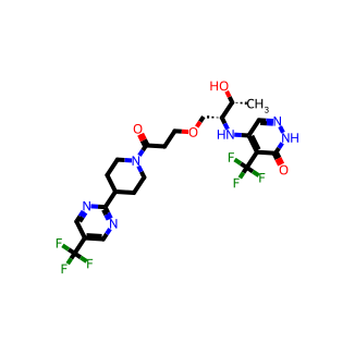 C[C@@H](O)[C@@H](COCCC(=O)N1CCC(c2ncc(C(F)(F)F)cn2)CC1)Nc1cn[nH]c(=O)c1C(F)(F)F